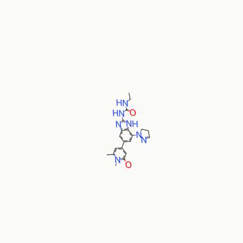 CCNC(=O)Nc1nc2cc(-c3cc(C)n(C)c(=O)c3)cc(N3CCC=N3)c2[nH]1